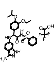 CCOc1cc(C(Nc2ccc3c(N)n[nH]c3c2)C(=O)NS(=O)(=O)c2ccccc2)ccc1OC(C)C.O=C(O)C(F)(F)F